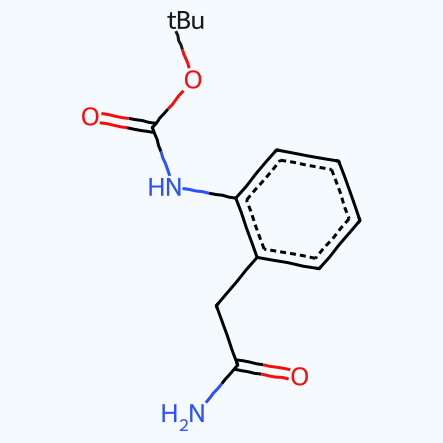 CC(C)(C)OC(=O)Nc1ccccc1CC(N)=O